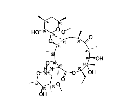 CC[C@H]1OC(=O)[C@@](C)(N)[C@H](O[C@H]2C[C@@](C)(OC)[C@@H](O)[C@H](C)O2)[C@H](C)[C@@H](O[C@@H]2O[C@H](C)C[C@H](C)[C@H]2O)[C@@](C)(OC)C[C@@H](C)C(=O)[C@H](C)[C@@H](O)[C@]1(C)O